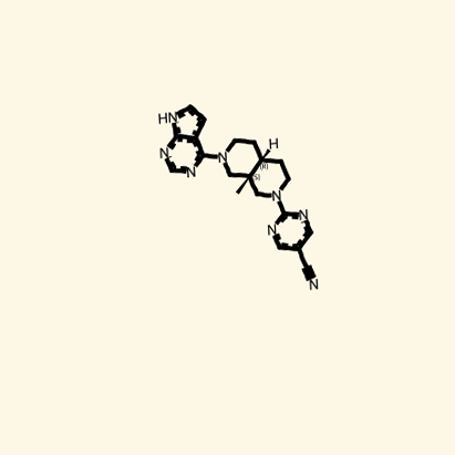 C[C@]12CN(c3ncc(C#N)cn3)CC[C@H]1CCN(c1ncnc3[nH]ccc13)C2